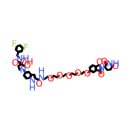 O=C1CCC(N2C(=O)c3ccc(OCCOCCOCCOCCOCCNC(=O)c4cc5cc(N6CC[C@](O)(C(=O)NCc7cc(F)cc(F)c7)C6=O)ccc5[nH]4)cc3C2=O)C(=O)N1